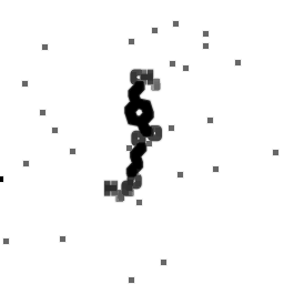 CCCC1CCC(C(=O)OCCCCOC)CC1